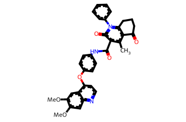 COc1cc2nccc(Oc3ccc(NC(=O)c4c(C)c5c(n(-c6ccccc6)c4=O)CCCC5=O)cc3)c2cc1OC